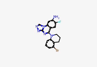 Nc1cc2c(cc1F)c(N1CCCc3c(Br)cccc31)nc1nncn12